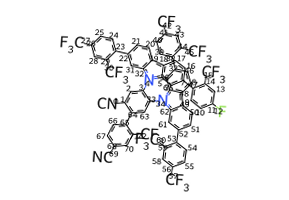 [C-]#[N+]c1cc(-n2c3cc(-c4ccc(F)cc4C(F)(F)F)ccc3c3ccc(-c4ccc(C(F)(F)F)cc4C(F)(F)F)cc32)c(-n2c3cc(-c4ccc(C(F)(F)F)cc4C(F)(F)F)ccc3c3ccc(-c4ccc(C(F)(F)F)cc4C(F)(F)F)cc32)cc1-c1ccc(C#N)cc1C(F)(F)F